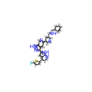 Fc1ccc(-c2ccnc3[nH]c(-c4n[nH]c5cnc(-c6cncc(CNCc7ccccc7)c6)cc45)cc23)s1